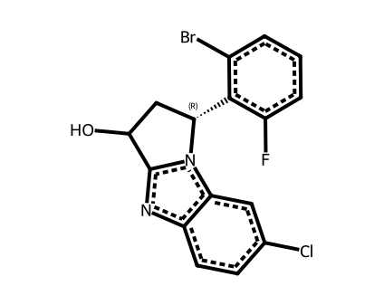 OC1C[C@H](c2c(F)cccc2Br)n2c1nc1ccc(Cl)cc12